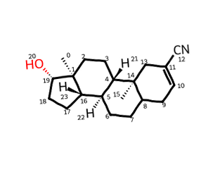 C[C@]12CC[C@H]3[C@@H](CCC4CC=C(C#N)C[C@@]43C)[C@@H]1CC[C@@H]2O